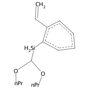 C=Cc1ccccc1[SiH2]C(OCCC)OCCC